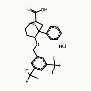 Cl.O=C(O)C1CC2(c3ccccc3)NC1CCC2OCc1cc(C(F)(F)F)cc(C(F)(F)F)c1